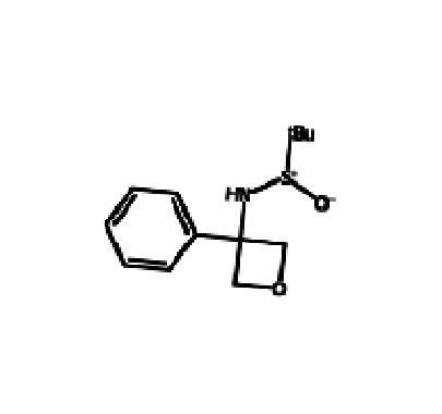 CC(C)(C)[S+]([O-])NC1(c2ccccc2)COC1